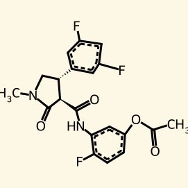 CC(=O)Oc1ccc(F)c(NC(=O)[C@H]2C(=O)N(C)C[C@@H]2c2cc(F)cc(F)c2)c1